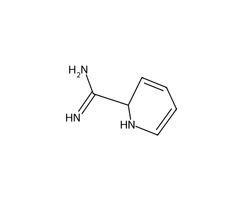 N=C(N)C1C=CC=CN1